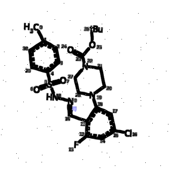 Cc1ccc(S(=O)(=O)N/N=C/c2c(F)cc(Cl)cc2N2CCN(C(=O)OC(C)(C)C)CC2)cc1